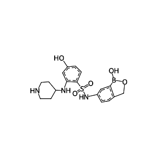 O=S(=O)(Nc1ccc2c(c1)B(O)OC2)c1ccc(O)cc1NC1CCNCC1